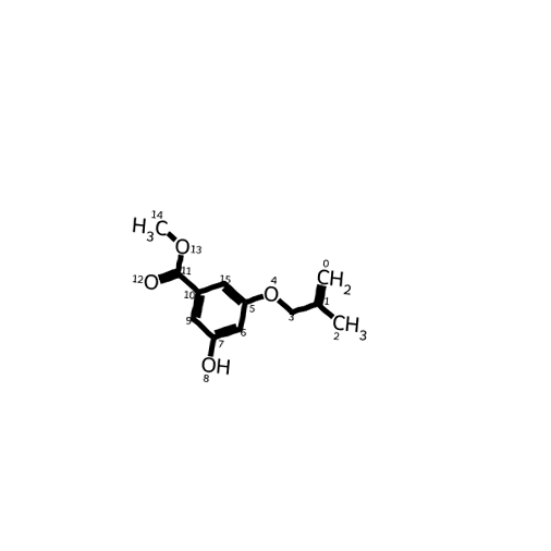 C=C(C)COc1cc(O)cc(C(=O)OC)c1